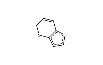 C1=Cc2occc2SC1